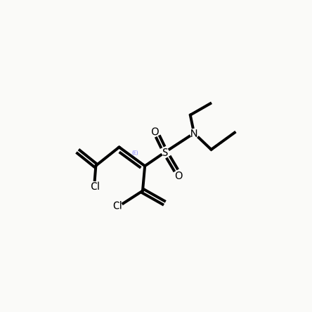 C=C(Cl)/C=C(\C(=C)Cl)S(=O)(=O)N(CC)CC